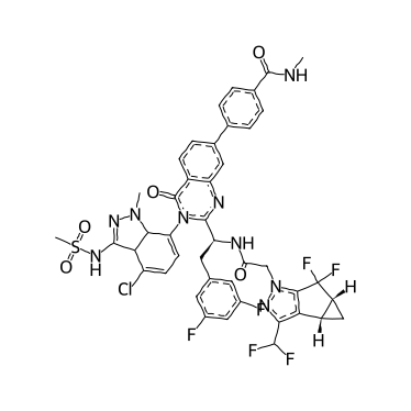 CNC(=O)c1ccc(-c2ccc3c(=O)n(C4=CC=C(Cl)C5C(NS(C)(=O)=O)=NN(C)C45)c([C@H](Cc4cc(F)cc(F)c4)NC(=O)Cn4nc(C(F)F)c5c4C(F)(F)[C@@H]4C[C@H]54)nc3c2)cc1